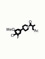 COc1cc(C2CCN(C(=O)C(C)CC(C)=O)CC2)cc(F)c1Cl